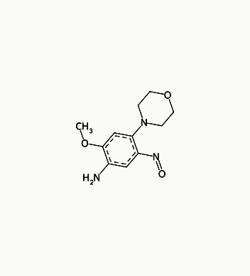 COc1cc(N2CCOCC2)c(N=O)cc1N